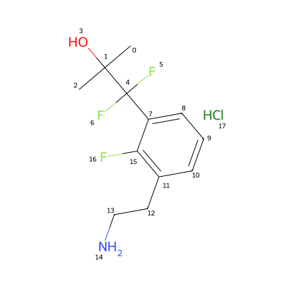 CC(C)(O)C(F)(F)c1cccc(CCN)c1F.Cl